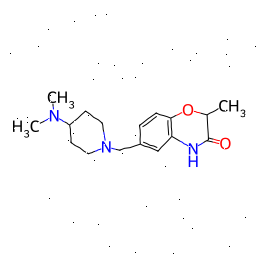 CC1Oc2ccc(CN3CCC(N(C)C)CC3)cc2NC1=O